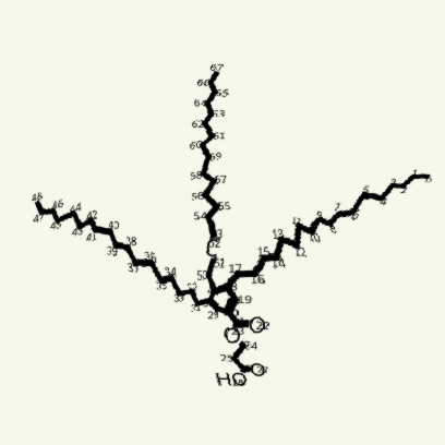 CCCCCCCCCCCCCCCCCCc1cc(C(=O)OCCC(=O)O)cc(CCCCCCCCCCCCCCCCCC)c1CCCCCCCCCCCCCCCCCC